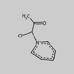 CC(=O)C(Cl)[n+]1ccccc1